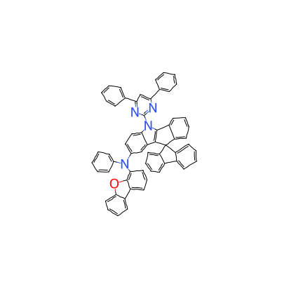 c1ccc(-c2cc(-c3ccccc3)nc(-n3c4c(c5cc(N(c6ccccc6)c6cccc7c6oc6ccccc67)ccc53)C3(c5ccccc5-c5ccccc53)c3ccccc3-4)n2)cc1